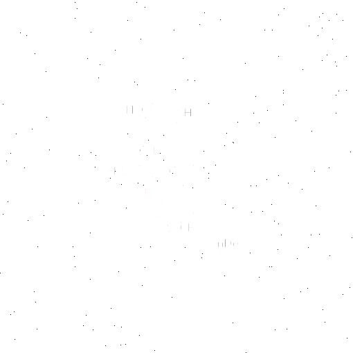 C=C(C)C(=O)OCCS(=O)(=O)O.CCCCCCCCCCCCCCCCCCC=C(C)C(=O)O